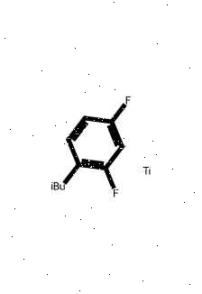 CCC(C)c1ccc(F)[c]c1F.[Ti]